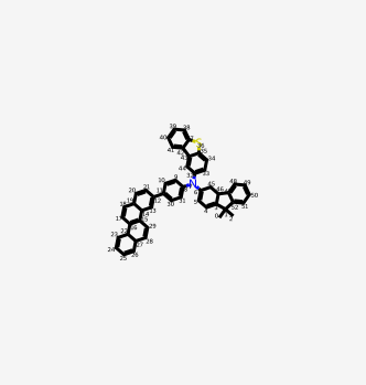 CC1(C)C2=CC=C(N(c3ccc(C4=CC5C6=C(C=CC5C=C4)C4C=CC=CC4C=C6)cc3)c3ccc4sc5ccccc5c4c3)CC2c2ccccc21